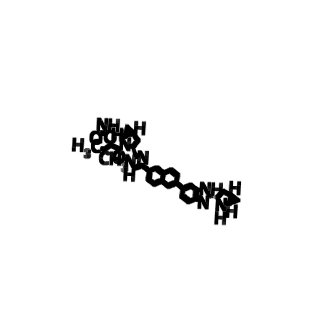 CC(C)C(OC(N)=O)C(=O)N1[C@@H]2C[C@@H]2C[C@H]1c1nc(-c2ccc3cc(-c4ccc5nc([C@@H]6C[C@H]7C[C@H]7N6)[nH]c5c4)ccc3c2)c[nH]1